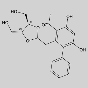 CC(=O)c1c(O)cc(O)c(-c2ccccc2)c1CC1O[C@H](CO)[C@@H](CO)O1